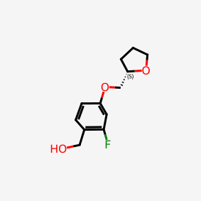 OCc1ccc(OC[C@@H]2CCCO2)cc1F